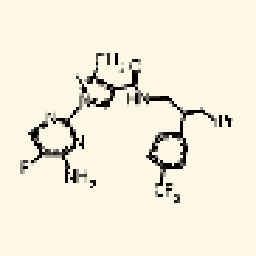 Cc1nn(-c2ncc(F)c(N)n2)cc1C(=O)NCC(CC(C)C)c1ccc(C(F)(F)F)cc1